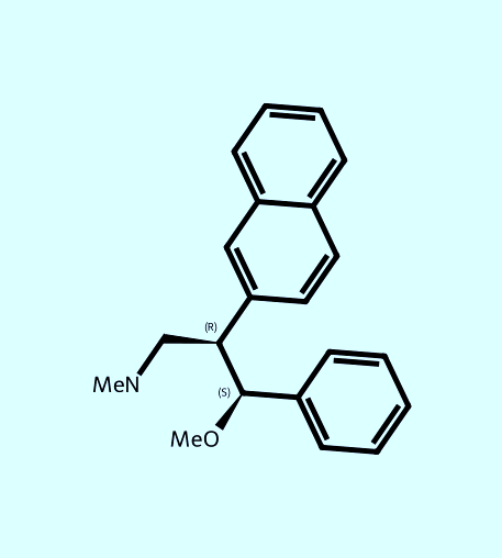 CNC[C@@H](c1ccc2ccccc2c1)[C@H](OC)c1ccccc1